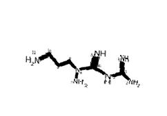 N=C(N)NC(=N)N(N)CCCN